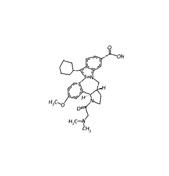 COc1ccc2c(c1)[C@H]1[C@@H](CCN1C(=O)CN(C)C)Cn1c-2c(C2CCCCC2)c2ccc(C(=O)O)cc21